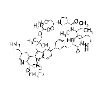 C=CC(=O)N1CCC(C(=O)N(C)[C@H](C(=O)N[C@@H](Cc2cccc(-c3ccc4c(c3)c(CC(C)(C)COC(C)=O)c(-c3cc(C5CNC5)cnc3[C@H](C)OC)n4CC)c2)C(=O)N2CCCCN2)C(C)C)C1